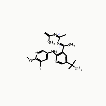 C=C(N)/N=C(C)\N=C(/N)c1cc(C(C)(C)N)cnc1Nc1cnc(OC)c(F)c1